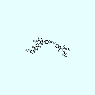 Cc1ccnc(NC(=O)c2ccc(-c3nc(N4CCC5(CC4)CN(CCOc4ccc6c(c4)CN(C(CCC(=O)OC(C)(C)C)C(N)=O)C6=O)C5)n4ccnc(N)c34)c(F)c2)c1